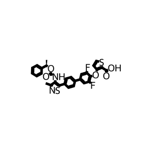 Cc1nsc(-c2ccc(-c3cc(F)c(Oc4ccsc4C(=O)O)c(F)c3)cc2)c1NC(=O)O[C@H](C)c1ccccc1